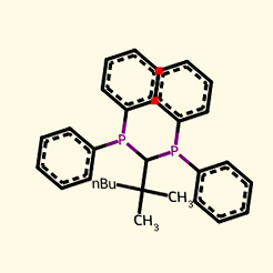 CCCCC(C)(C)C(P(c1ccccc1)c1ccccc1)P(c1ccccc1)c1ccccc1